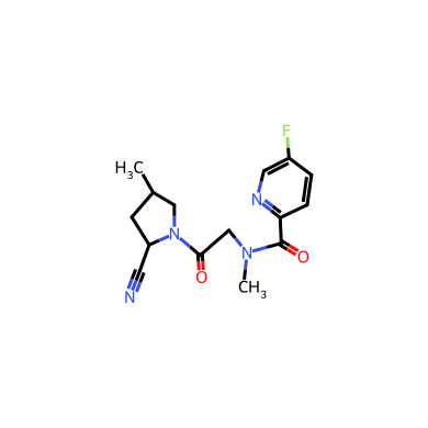 CC1CC(C#N)N(C(=O)CN(C)C(=O)c2ccc(F)cn2)C1